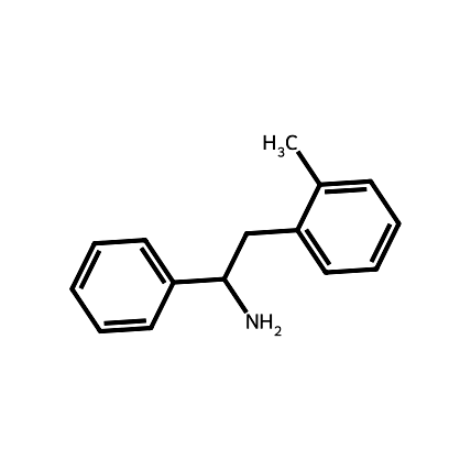 Cc1ccccc1CC(N)c1ccccc1